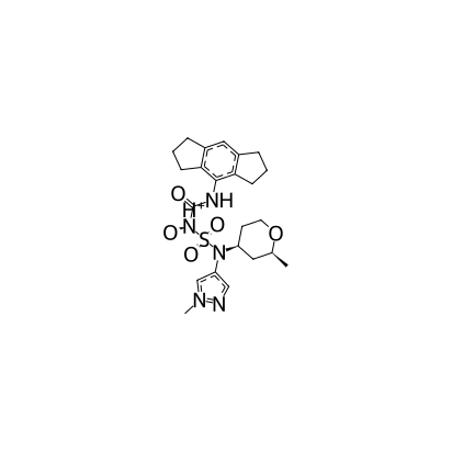 C[C@H]1C[C@@H](N(c2cnn(C)c2)S(=O)(=O)[NH+]([O-])C(=O)Nc2c3c(cc4c2CCC4)CCC3)CCO1